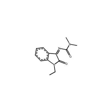 CCN1C(=O)C(=NC(=O)N(C)C)c2ccccc21